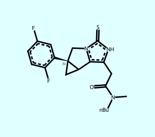 CCCCN(C)C(=O)Cc1[nH]c(=S)n2c1C1C[C@]1(c1cc(F)ccc1F)C2